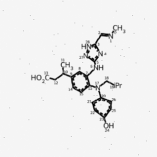 C/N=C/c1nc(Nc2cc([C@H](C)CC(=O)O)ccc2N(CC(C)C)c2ccc(O)cc2)n[nH]1